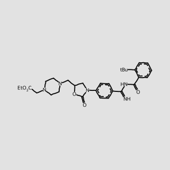 CCOC(=O)CN1CCN(CC2CN(c3ccc(C(=N)NC(=O)c4ccccc4C(C)(C)C)cc3)C(=O)O2)CC1